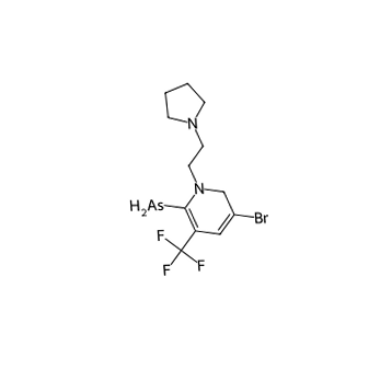 FC(F)(F)C1=C([AsH2])N(CCN2CCCC2)CC(Br)=C1